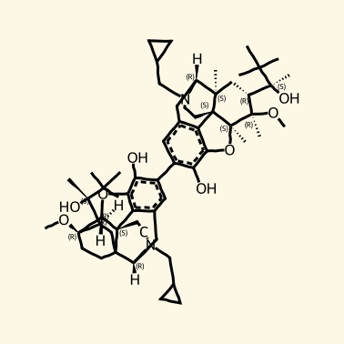 CO[C@]12CCC3(C[C@@H]1[C@](C)(O)C(C)(C)C)[C@H]1Cc4cc(-c5cc6c7c(c5O)O[C@@]5(C)[C@]78CCN(CC7CC7)[C@H](C6)[C@@]8(C)C[C@H]([C@](C)(O)C(C)(C)C)[C@@]5(C)OC)c(O)c5c4[C@@]3(CCN1CC1CC1)[C@H]2O5